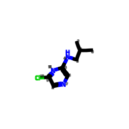 CC(C)CNc1cncc(Cl)n1